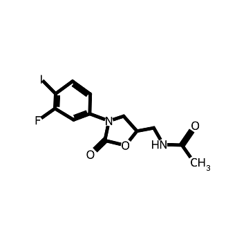 CC(=O)NCC1CN(c2ccc(I)c(F)c2)C(=O)O1